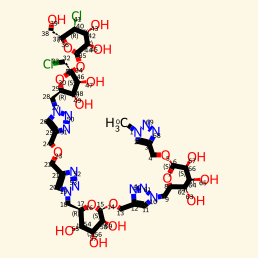 Cn1cc(CO[C@H]2OC(Cn3cc(CO[C@H]4O[C@H](Cn5cc(COCc6cn(C[C@H]7O[C@@](CCl)(OC8O[C@H](CO)[C@H](Cl)[C@H](O)[C@H]8O)[C@@H](O)[C@@H]7O)nn6)nn5)[C@@H](O)[C@H](O)[C@@H]4O)nn3)[C@@H](O)[C@H](O)[C@@H]2O)nn1